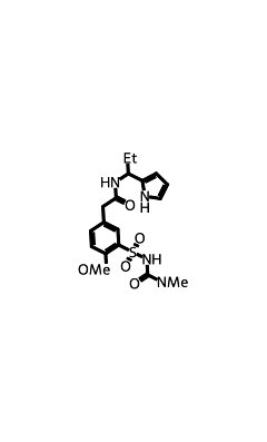 CCC(NC(=O)Cc1ccc(OC)c(S(=O)(=O)NC(=O)NC)c1)c1ccc[nH]1